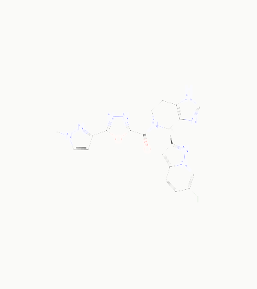 Cn1ccc(-c2nnc(C(=O)N3CCc4[nH]cnc4[C@H]3c3cc4ccc(F)cn4n3)o2)n1